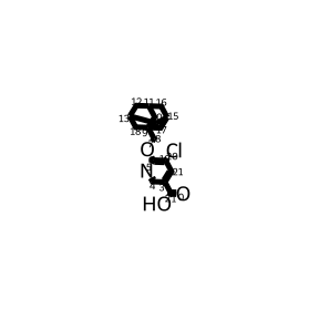 O=C(O)c1cnc(OCC23CC4CC(CC(C4)C2)C3)c(Cl)c1